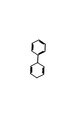 C1=CC(c2ccccc2)C=CC1